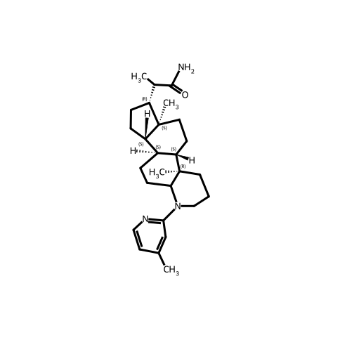 Cc1ccnc(N2CCC[C@@]3(C)C2CC[C@H]2[C@@H]4CC[C@H](C(C)C(N)=O)[C@@]4(C)CC[C@@H]23)c1